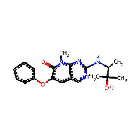 C[C@H](Nc1ncc2cc(Oc3ccccc3)c(=O)n(C)c2n1)C(C)(C)O